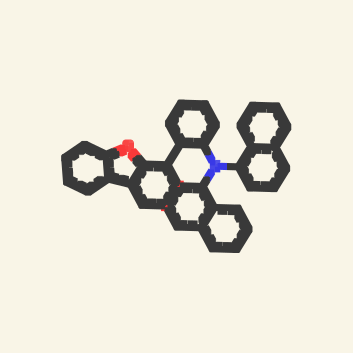 c1ccc(N(c2cccc3ccccc23)c2cccc3ccccc23)c(-c2cccc3c2oc2ccccc23)c1